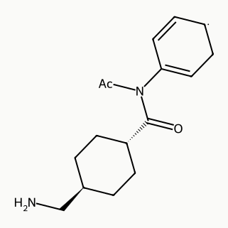 CC(=O)N(C1=CC[CH]C=C1)C(=O)[C@H]1CC[C@H](CN)CC1